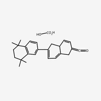 CC1(C)CCC(C)(C)c2cc(C3=CC=C4CC(=C=O)C=CC4C3)ccc21.O=C(O)O